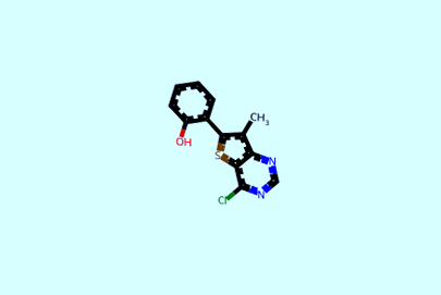 Cc1c(-c2ccccc2O)sc2c(Cl)ncnc12